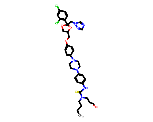 CCCCN(CCCO)C(=S)Nc1ccc(N2CCN(c3ccc(OCC4COC(Cn5cncn5)(c5ccc(Cl)cc5Cl)O4)cc3)CC2)cc1